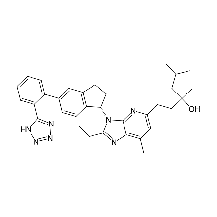 CCc1nc2c(C)cc(CCC(C)(O)CC(C)C)nc2n1[C@H]1CCc2cc(-c3ccccc3-c3nnn[nH]3)ccc21